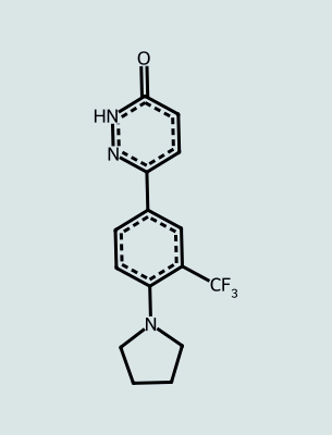 O=c1ccc(-c2ccc(N3CCCC3)c(C(F)(F)F)c2)n[nH]1